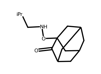 CC(C)CNOC12CC3CC(CC(C3)C1=O)C2